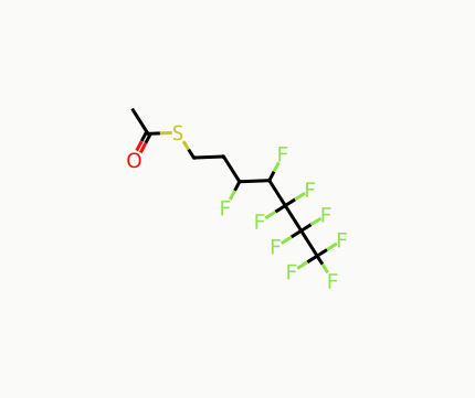 CC(=O)SCCC(F)C(F)C(F)(F)C(F)(F)C(F)(F)F